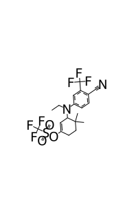 CCN(c1ccc(C#N)c(C(F)(F)F)c1)C1C=C(OS(=O)(=O)C(F)(F)F)CCC1(C)C